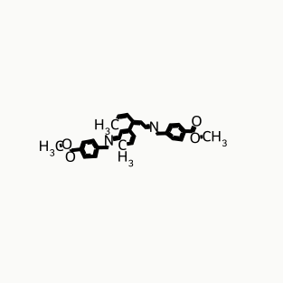 C\C=C/C(=C/C=N/Cc1ccc(C(=O)OC)cc1)C(/C=C\C)=C/C=N/Cc1ccc(C(=O)OC)cc1